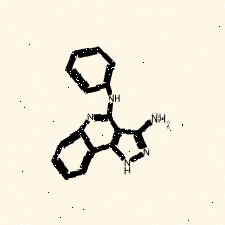 Nc1n[nH]c2c1c(Nc1ccccc1)nc1ccccc12